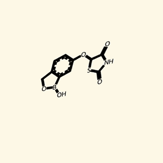 O=C1NC(=O)C(Oc2ccc3c(c2)B(O)OC3)S1